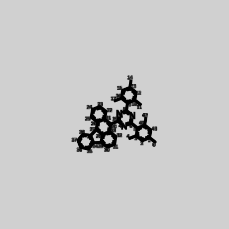 Cc1cc(C)c(-c2nc(-c3c(C)cc(C)cc3C)nc(-c3c4ccccc4c4c5c(cccc35)-c3ccccc3-4)n2)c(C)c1